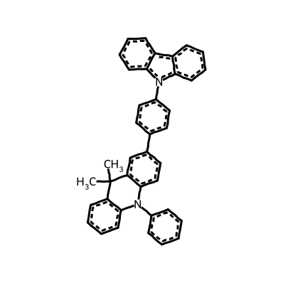 CC1(C)c2ccccc2N(c2ccccc2)c2ccc(-c3ccc(-n4c5ccccc5c5ccccc54)cc3)cc21